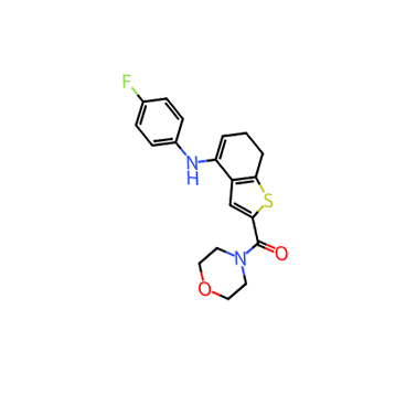 O=C(c1cc2c(s1)CCC=C2Nc1ccc(F)cc1)N1CCOCC1